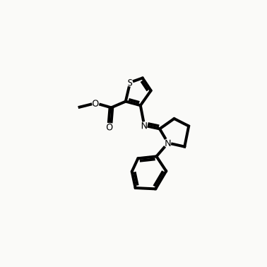 COC(=O)c1sccc1/N=C1\CCCN1c1ccccc1